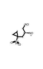 O=NC[C@H](CC1([SH](=O)=O)CC1)N=O